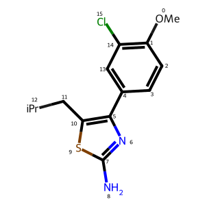 COc1ccc(-c2nc(N)sc2CC(C)C)cc1Cl